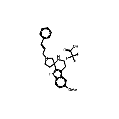 COc1ccc2[nH]c3c(c2c1)CCNC31CCN(C/C=C/c2ccccc2)C1.O=C(O)C(F)(F)F